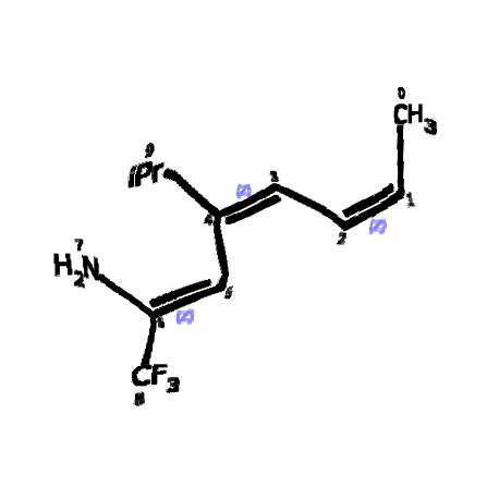 C\C=C/C=C(\C=C(/N)C(F)(F)F)C(C)C